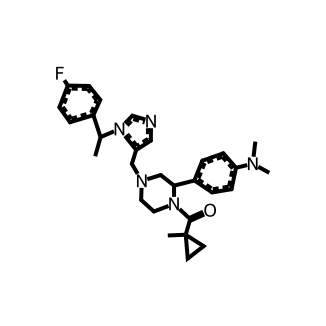 CC(c1ccc(F)cc1)n1cncc1CN1CCN(C(=O)C2(C)CC2)C(c2ccc(N(C)C)cc2)C1